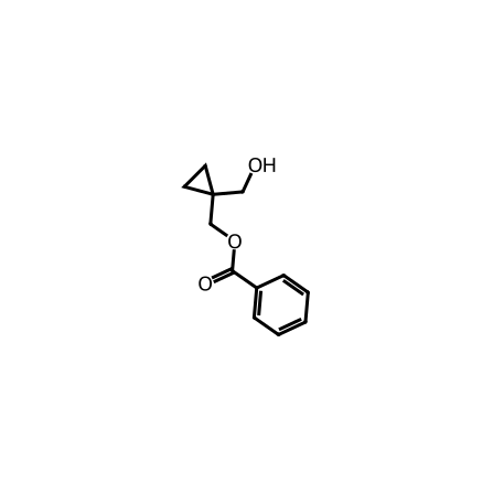 O=C(OCC1(CO)CC1)c1ccccc1